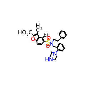 CCc1c(S(=O)(=O)N(CCc2ccccc2)Cc2ccccc2N2CCNCC2)ccc2oc(C(=O)O)c(C)c12